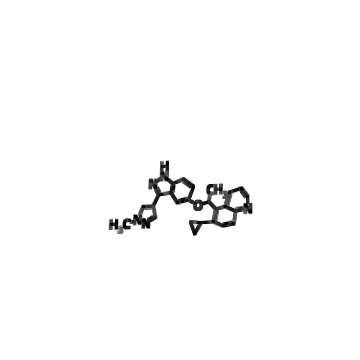 CC(Oc1ccc2[nH]nc(-c3cnn(C)c3)c2c1)c1c(C2CC2)ccc2ncccc12